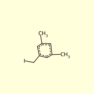 Cc1cc(C)cc(CI)c1